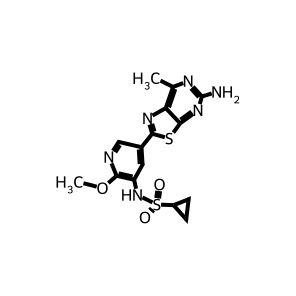 COc1ncc(-c2nc3c(C)nc(N)nc3s2)cc1NS(=O)(=O)C1CC1